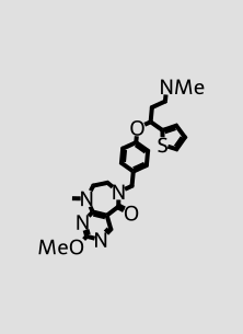 CNCCC(Oc1ccc(CN2CCN(C)c3nc(OC)ncc3C2=O)cc1)c1cccs1